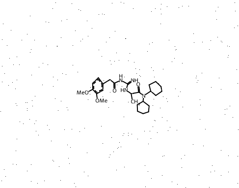 COc1ccc(CC(=O)NC(=N)NC(C)C(=O)N(C2CCCCC2)C2CCCCC2)cc1OC